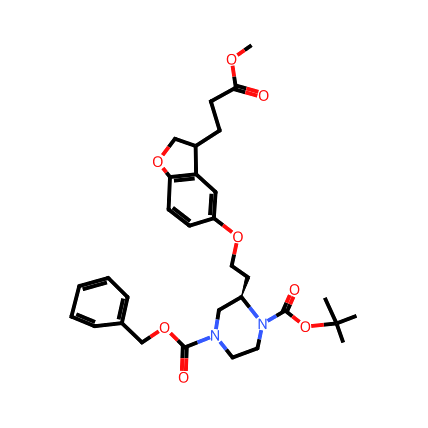 COC(=O)CCC1COc2ccc(OCC[C@@H]3CN(C(=O)OCc4ccccc4)CCN3C(=O)OC(C)(C)C)cc21